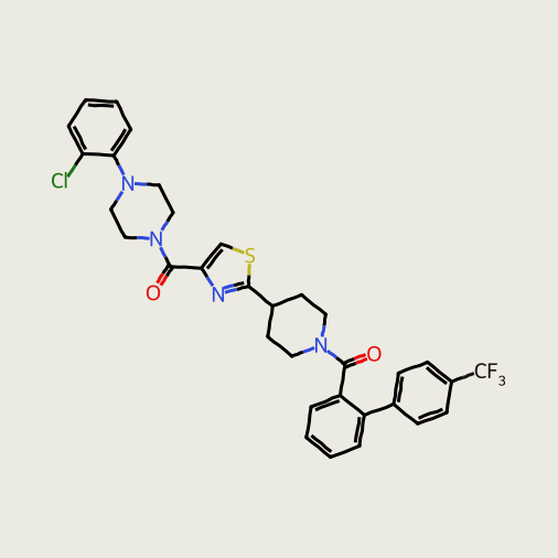 O=C(c1csc(C2CCN(C(=O)c3ccccc3-c3ccc(C(F)(F)F)cc3)CC2)n1)N1CCN(c2ccccc2Cl)CC1